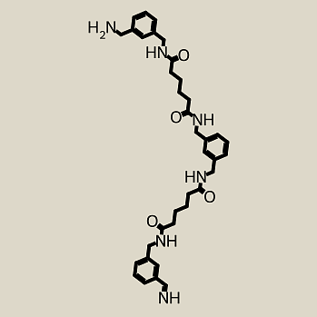 N=Cc1cccc(CNC(=O)CCCCC(=O)NCc2cccc(CNC(=O)CCCCC(=O)NCc3cccc(CN)c3)c2)c1